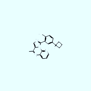 Cc1nc2cccnc2n2c(-c3cc(C4(O)CCC4)ccc3Cl)ncc12